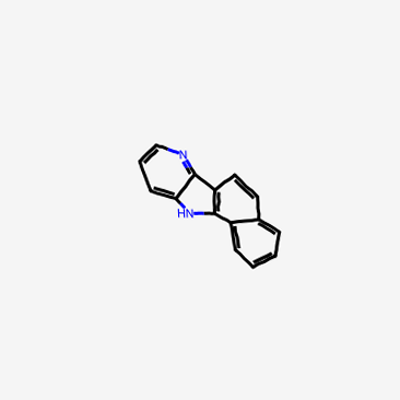 c1ccc2c(c1)ccc1c3ncccc3[nH]c21